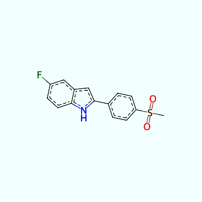 CS(=O)(=O)c1ccc(-c2cc3cc(F)ccc3[nH]2)cc1